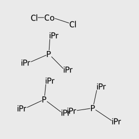 CC(C)P(C(C)C)C(C)C.CC(C)P(C(C)C)C(C)C.CC(C)P(C(C)C)C(C)C.[Cl][Co][Cl]